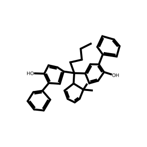 CCCCC(c1ccc(O)c(-c2ccccc2)c1)(c1ccc(O)c(-c2ccccc2)c1)C1C=CC=CC1(C)C